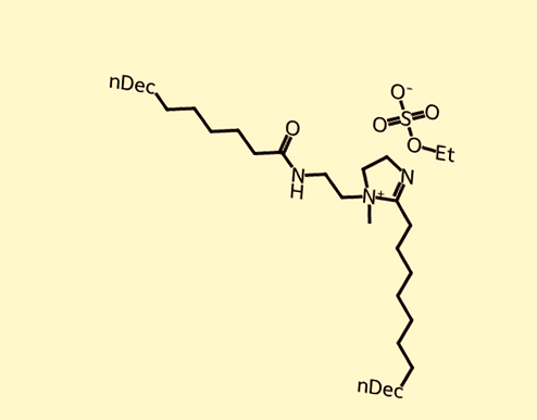 CCCCCCCCCCCCCCCCCC1=NCC[N+]1(C)CCNC(=O)CCCCCCCCCCCCCCC.CCOS(=O)(=O)[O-]